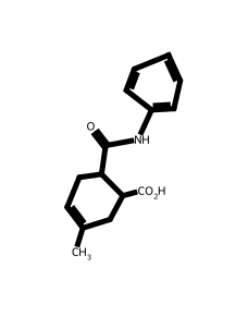 CC1=CCC(C(=O)Nc2ccccc2)C(C(=O)O)C1